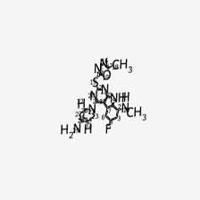 CNc1cc(F)cc2c1[nH]c1nc(Sc3nnc(C)o3)nc(N3C[C@H]4C[C@@H]3C[C@H]4N)c12